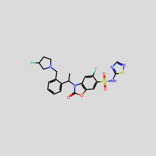 CC(c1ccccc1CN1CCC(F)C1)n1c(=O)oc2cc(S(=O)(=O)Nc3ncns3)c(F)cc21